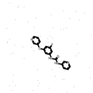 O=C(Nc1cccnc1)Nc1cc(F)cc(Oc2cccnc2)c1